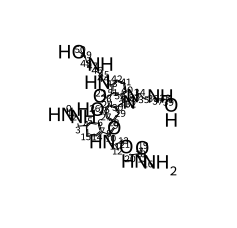 CNNCc1ccc(C(=O)NC(C)C)cc1.NNC(=O)C=O.O=C1c2c(O)cccc2-c2nn(CCNCCO)c3ccc(NCCNCCO)c1c23